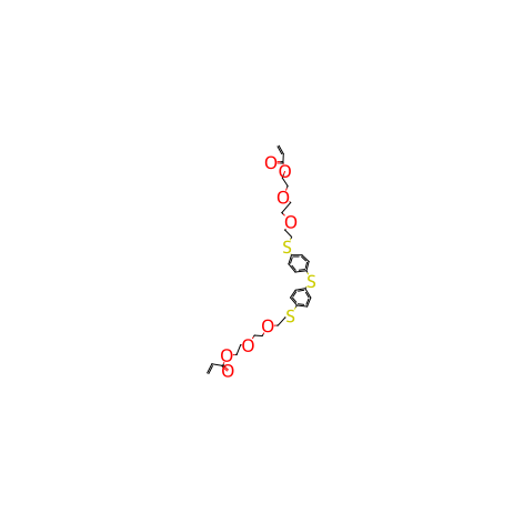 C=CC(=O)OCCOCCOCCSc1ccc(Sc2ccc(SCCOCCOCCOC(=O)C=C)cc2)cc1